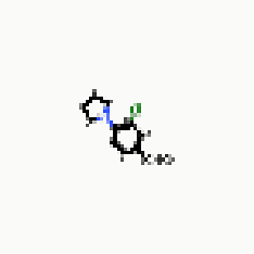 O=[C]c1ccc(N2CCCC2)c(Cl)c1